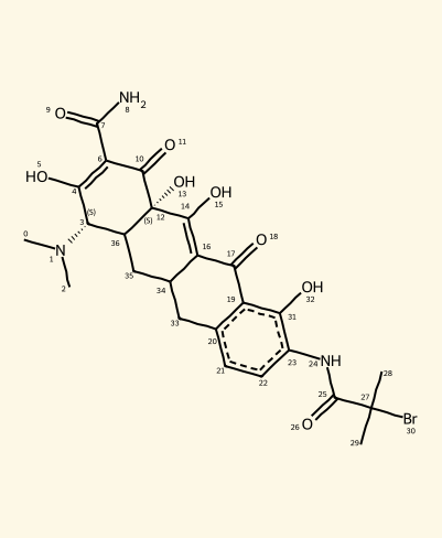 CN(C)[C@@H]1C(O)=C(C(N)=O)C(=O)[C@@]2(O)C(O)=C3C(=O)c4c(ccc(NC(=O)C(C)(C)Br)c4O)CC3CC12